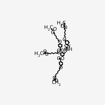 C=CC(=O)OCCCCCCOc1ccc(C(=O)Oc2cc(/C=N/Nc3nc4ccc(OCCCCCCOC(=O)C=C)cc4s3)c(OC(=O)c3ccc(OCCCCCCOC(=O)C=C)cc3)c(OCCCCCCOC(=O)C=C)c2)cc1